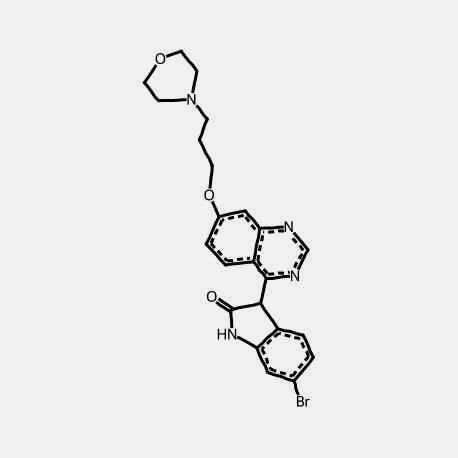 O=C1Nc2cc(Br)ccc2C1c1ncnc2cc(OCCCN3CCOCC3)ccc12